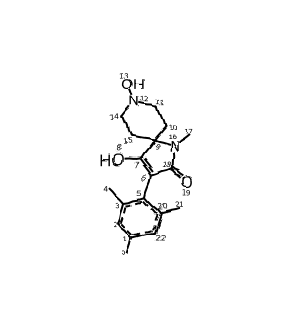 Cc1cc(C)c(C2=C(O)C3(CCN(O)CC3)N(C)C2=O)c(C)c1